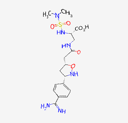 CN(C)S(=O)(=O)N[C@@H](CNC(=O)C[C@H]1C[C@@H](c2ccc(C(=N)N)cc2)NO1)C(=O)O